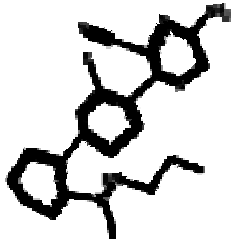 CCCNN(C)c1ccccc1-c1ccc(-c2ncc(N)nc2C#N)c(F)c1